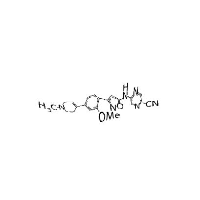 COc1cc(C2=CCN(C)CC2)ccc1-c1cc(Nc2cnc(C#N)cn2)on1